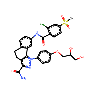 CS(=O)(=O)c1ccc(C(=O)Nc2ccc3c(c2)-c2c(c(C(N)=O)nn2-c2ccc(OCC(O)CO)cc2)CC3)c(Cl)c1